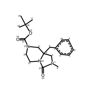 CN1CC2(Cc3ccccc3)CN(C(=O)OC(C)(C)C)CCN2C1=O